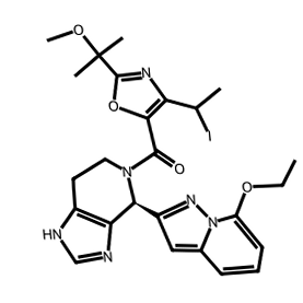 CCOc1cccc2cc([C@H]3c4nc[nH]c4CCN3C(=O)c3oc(C(C)(C)OC)nc3C(C)I)nn12